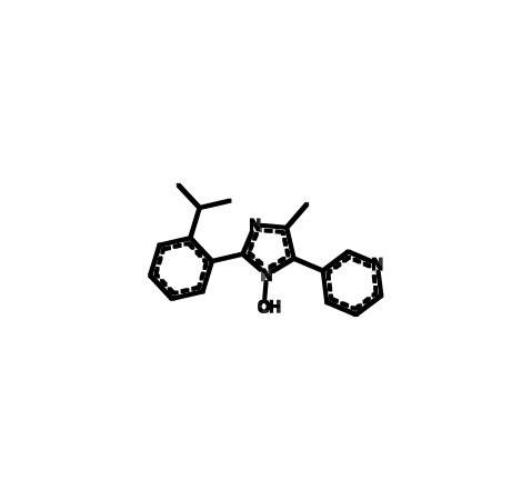 Cc1nc(-c2ccccc2C(C)C)n(O)c1-c1cccnc1